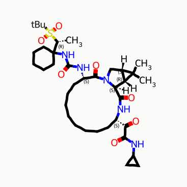 C[C@H](C1(NC(=O)N[C@H]2CCCCCCCC[C@@H](C(=O)C(=O)NC3CC3)NC(=O)[C@@H]3[C@@H]4[C@H](CN3C2=O)C4(C)C)CCCCC1)S(=O)(=O)C(C)(C)C